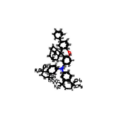 CC1(C)CCC(C)(C)c2cc(N(c3ccc4c(c3)C(C)(C)CCC4(C)C)c3ccc4c(c3)C3(c5cc(-c6ccccc6)ccc5O4)C4CC5CC6CC3C64C5)ccc21